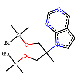 CC(CO[Si](C)(C)C(C)(C)C)(CO[Si](C)(C)C(C)(C)C)n1ccc2cncnc21